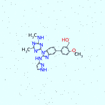 CNc1nc(C)nc(-n2c(Nc3cc[nH]n3)nc3cc(-c4ccc(OC)c(CO)c4)ccc32)n1